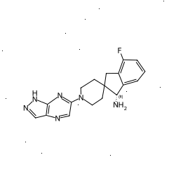 N[C@H]1c2cccc(F)c2CC12CCN(c1cnc3cn[nH]c3n1)CC2